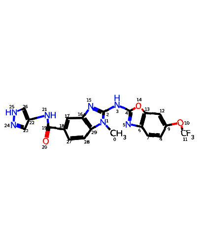 Cn1c(Nc2nc3ccc(OC(F)(F)F)cc3o2)nc2cc(C(=O)Nc3cn[nH]c3)ccc21